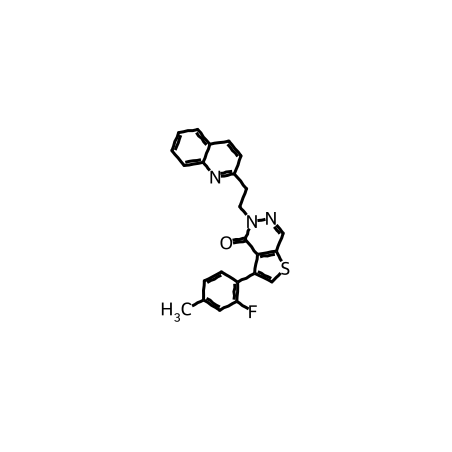 Cc1ccc(-c2csc3cnn(CCc4ccc5ccccc5n4)c(=O)c23)c(F)c1